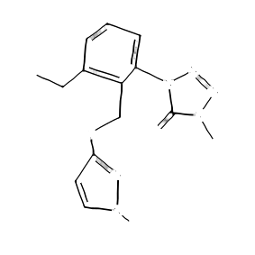 CCc1cccc(-n2nnn(C)c2=O)c1CSc1ccn(O)n1